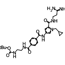 CC(C)(C)OC(=O)NCCNC(=O)c1ccc(C(=O)Nc2cc(C(=O)NCCC(=N)N)n(CC3CC3)c2)cc1